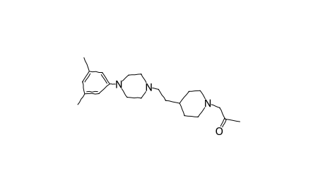 CC(=O)CN1CCC(CCN2CCN(c3cc(C)cc(C)c3)CC2)CC1